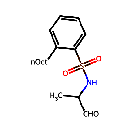 CCCCCCCCc1ccccc1S(=O)(=O)NC(C)C=O